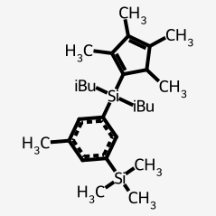 CCC(C)[Si](C1=C(C)C(C)=C(C)C1C)(c1cc(C)cc([Si](C)(C)C)c1)C(C)CC